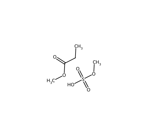 CCC(=O)OC.COS(=O)(=O)O